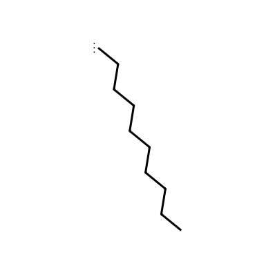 [C]CCCCCCCCC